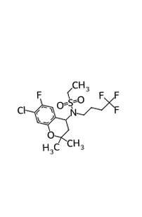 CCS(=O)(=O)N(CCCC(F)(F)F)C1CC(C)(C)Oc2cc(Cl)c(F)cc21